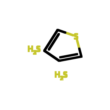 S.S.c1ccsc1